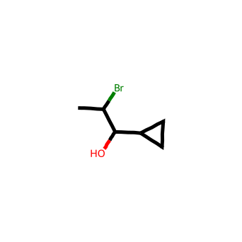 CC(Br)C(O)C1CC1